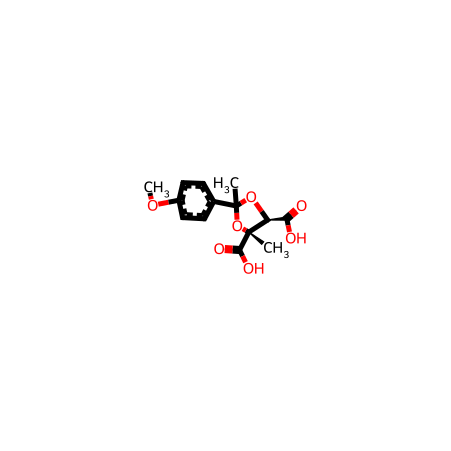 COc1ccc(C2(C)O[C@@H](C(=O)O)[C@](C)(C(=O)O)O2)cc1